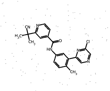 Cc1ccc(NC(=O)c2ccnc(C(C)(C)C#N)c2)cc1-c1cncc(Cl)n1